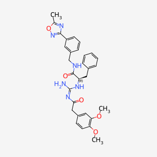 COc1ccc(CC(=O)N=C(N)N[C@H](Cc2ccccc2)C(=O)NCc2cccc(-c3noc(C)n3)c2)cc1OC